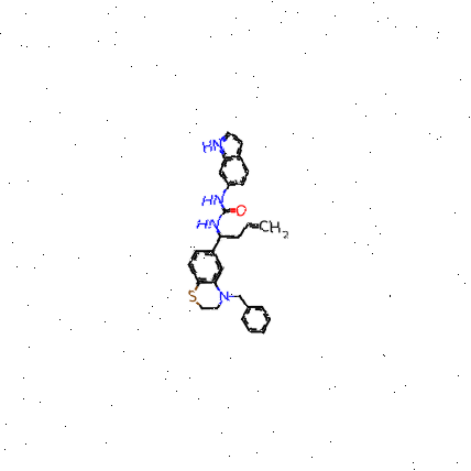 C=CCC(NC(=O)Nc1ccc2cc[nH]c2c1)c1ccc2c(c1)N(Cc1ccccc1)CCS2